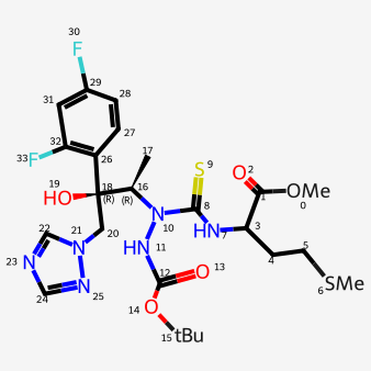 COC(=O)C(CCSC)NC(=S)N(NC(=O)OC(C)(C)C)[C@H](C)[C@](O)(Cn1cncn1)c1ccc(F)cc1F